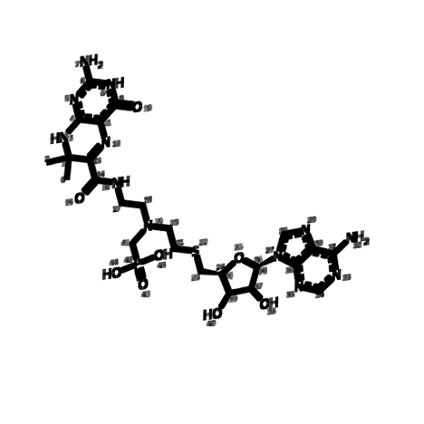 CC1(C)Nc2nc(N)[nH]c(=O)c2N=C1C(=O)NCCN(CCSC[C@H]1O[C@@H](n2cnc3c(N)ncnc32)C(O)C1O)CP(=O)(O)O